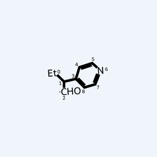 CCC([C]=O)c1ccncc1